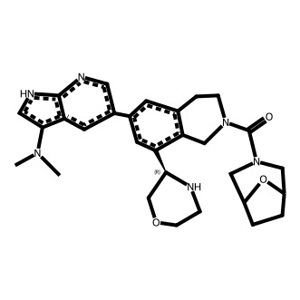 CN(C)c1c[nH]c2ncc(-c3cc4c(c([C@@H]5COCCN5)c3)CN(C(=O)N3CC5CCC(C3)O5)CC4)cc12